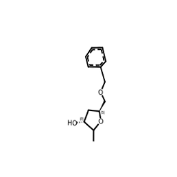 CC1O[C@H](COCc2ccccc2)C[C@H]1O